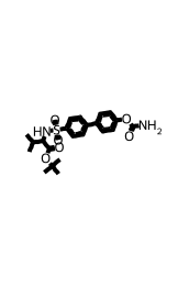 CC(C)C(NS(=O)(=O)c1ccc(-c2ccc(OC(N)=O)cc2)cc1)C(=O)OC(C)(C)C